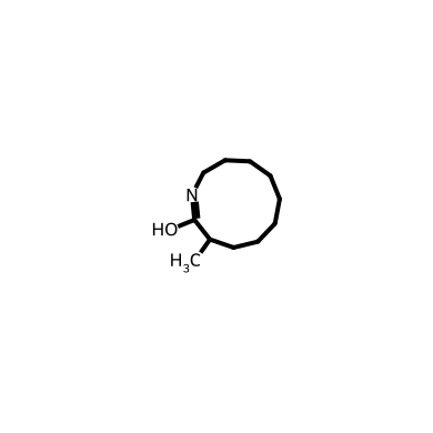 CC1CCCCCCCC/N=C\1O